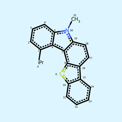 CC(C)c1cccc2c1c1c3sc4ccccc4c3ccc1n2C